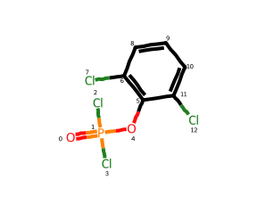 O=P(Cl)(Cl)Oc1c(Cl)cccc1Cl